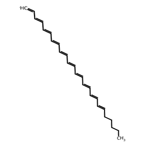 [CH]=CC=CC=CC=CC=CC=CC=CC=CC=CC=CCCCCC